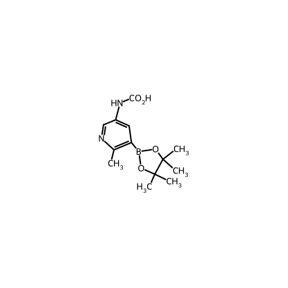 Cc1ncc(NC(=O)O)cc1B1OC(C)(C)C(C)(C)O1